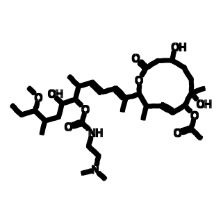 CCC(OC)C(C)CC(O)C(OC(=O)NCCN(C)C)C(C)/C=C/C=C(\C)C1OC(=O)CC(O)CCC(C)(O)C(OC(C)=O)/C=C/C1C